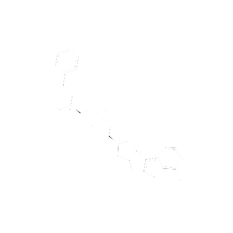 C[C@@]1(c2ccc3c(N)ncnn23)O[C@H](COP(=O)(O)OC[C@@H](CO)OCc2ccccc2)C(O)C1O